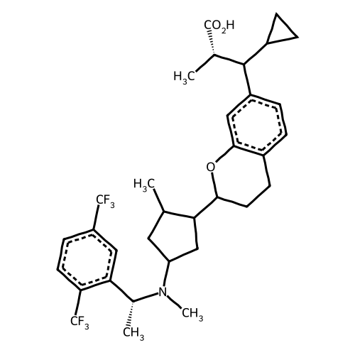 CC1CC(N(C)[C@H](C)c2cc(C(F)(F)F)ccc2C(F)(F)F)CC1C1CCc2ccc(C(C3CC3)[C@H](C)C(=O)O)cc2O1